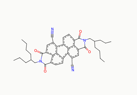 CCCCC(CCC)CN1C(=O)c2ccc3c4c(C#N)cc5c6c(ccc(c7c(C#N)cc(c2c37)C1=O)c64)C(=O)N(CC(CCC)CCCC)C5=O